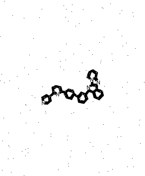 c1cc(-c2ccc(-c3cccc(-c4ccncc4)n3)cc2)cc(-c2nc3c(nc4ccccn43)c3ccccc23)c1